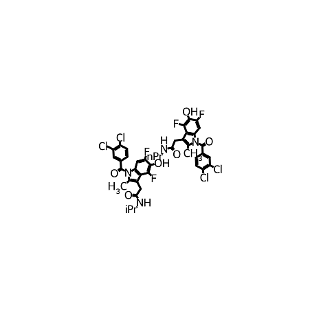 CCCNC(=O)Cc1c(C)n(C(=O)c2ccc(Cl)c(Cl)c2)c2cc(F)c(O)c(F)c12.Cc1c(CC(=O)NC(C)C)c2c(F)c(O)c(F)cc2n1C(=O)c1ccc(Cl)c(Cl)c1